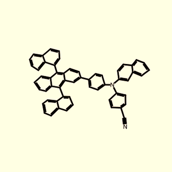 N#Cc1ccc(N(c2ccc(-c3ccc4c(-c5cccc6ccccc56)c5ccccc5c(-c5cccc6ccccc56)c4c3)cc2)c2ccc3ccccc3c2)cc1